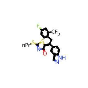 CCCSC1=NC(=O)C(=C(Cc2ccc(F)cc2C(F)(F)F)c2ccc3[nH]ncc3c2)S1